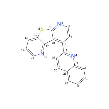 c1ccc2nc(-c3ccnc4sc5cccnc5c34)ccc2c1